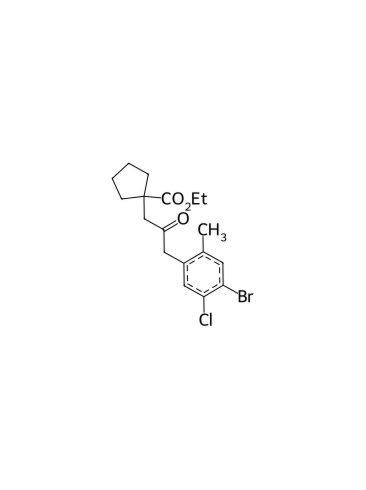 CCOC(=O)C1(CC(=O)Cc2cc(Cl)c(Br)cc2C)CCCC1